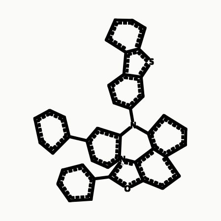 c1ccc(-c2cccc(N(c3ccc4c(c3)sc3ccccc34)c3cccc4ccc5oc(-c6ccccc6)nc5c34)c2)cc1